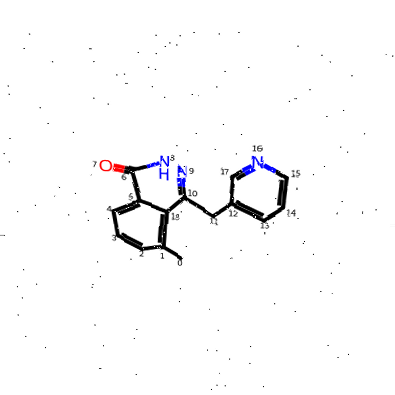 Cc1cccc2c(=O)[nH]nc(Cc3cccnc3)c12